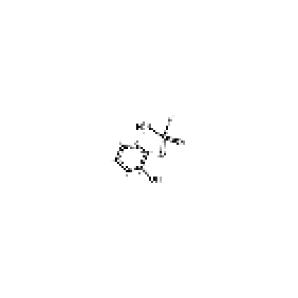 NS(=O)(=O)F.Oc1ccccc1